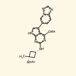 COc1nc(N[C@H]2C[C@@](C)(NC(C)=O)C2)nc2[nH]cc(-c3ccc4ncnn4c3)c12